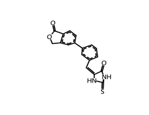 O=C1NC(=S)N/C1=C/c1cccc(-c2ccc3c(c2)COC3=O)c1